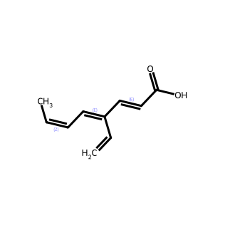 C=CC(/C=C/C(=O)O)=C\C=C/C